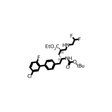 CCOC(=O)[C@H](CNCC(F)F)C[C@@H](Cc1ccc(-c2cc(Cl)ccc2F)cc1)NC(=O)OC(C)(C)C